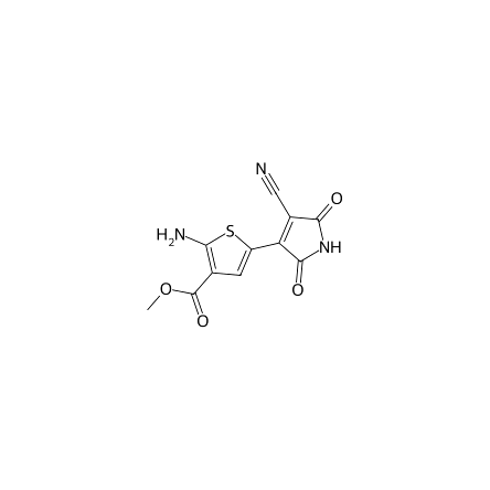 COC(=O)c1cc(C2=C(C#N)C(=O)NC2=O)sc1N